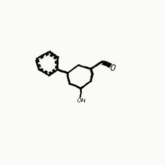 O=CC1CC(O)CC(c2ccccc2)C1